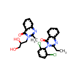 CCc1nc2ccccc2c(=O)n1-c1c(Cl)cccc1Cl.Cc1nc2ccccc2c(=O)n1CC(O)CO